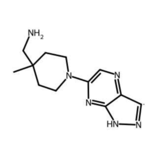 CC1(CN)CCN(c2cnc3[c]n[nH]c3n2)CC1